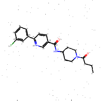 CCCC(=O)N1CCC(NC(=O)c2ccc(-c3cccc(F)c3)nc2)CC1